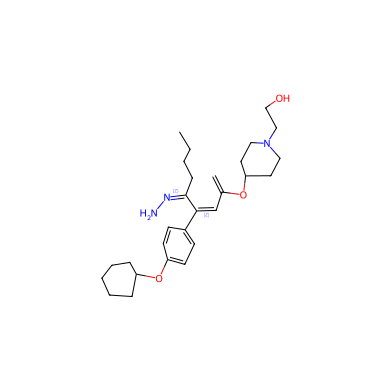 C=C(/C=C(\C(CCCC)=N/N)c1ccc(OC2CCCCC2)cc1)OC1CCN(CCO)CC1